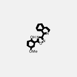 COc1ccc(O)c(-c2nc(-c3nccc4ccccc34)no2)c1